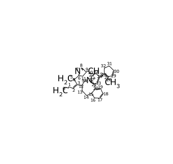 C=C/C=C(\C(=C)C1=[N+]=CC(C)C1)C1CCC2CC=CC=C2C2=[N+](CCC(C3=C(C)C=CCC3)=C2)C1